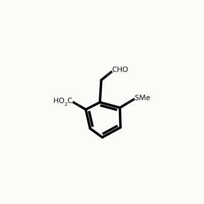 CSc1cccc(C(=O)O)c1CC=O